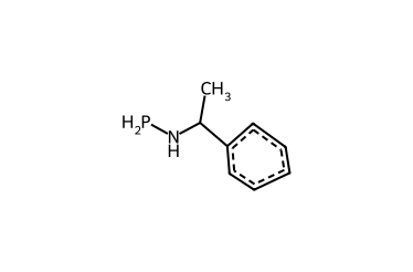 CC(NP)c1ccccc1